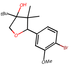 COc1cc(C2OCC(O)(C(C)(C)C)C2(C)C)ccc1Br